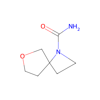 NC(=O)N1CCC12CCOC2